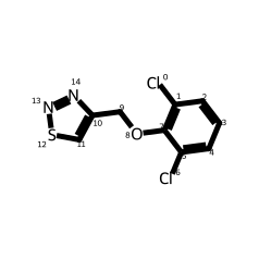 Clc1cccc(Cl)c1OCc1csnn1